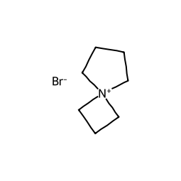 C1CC[N+]2(C1)CCC2.[Br-]